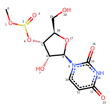 COS(=O)O[C@H]1[C@@H](O)[C@H](n2ccc(=O)[nH]c2=O)O[C@@H]1CO